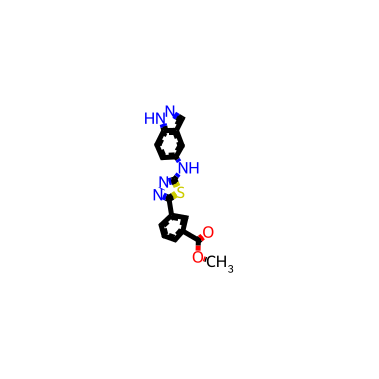 COC(=O)c1cccc(-c2nnc(Nc3ccc4[nH]ncc4c3)s2)c1